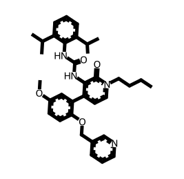 CCCCn1ccc(-c2cc(OC)ccc2OCc2cccnc2)c(NC(=O)Nc2c(C(C)C)cccc2C(C)C)c1=O